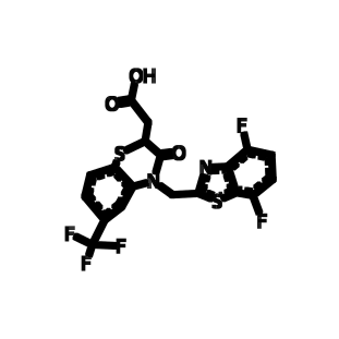 O=C(O)CC1Sc2ccc(C(F)(F)F)cc2N(Cc2nc3c(F)ccc(F)c3s2)C1=O